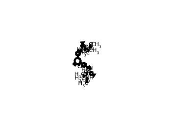 C=C1/C(c2ccc(-c3cnc([C@@H]4CC5(CC5)CN4C(=O)[C@@H](NC(=O)OC)C(C)C)[nH]3)cc2)=C\C=C(\c2ccc3nc([C@@H]4CC5(CC5)CN4C(=O)[C@@H](NC(=O)OC)C(C)C)[nH]c3c2)CCC2CCC12